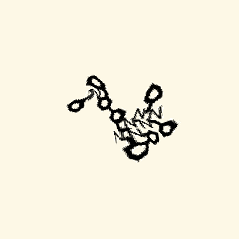 c1ccc(-c2nc(-c3ccccc3)nc(-n3c4ccc(-c5ccc6c(c5)c5ccccc5n6-c5ccccc5)cc4c4nc5c6ccccc6c6ccccc6n5c43)n2)cc1